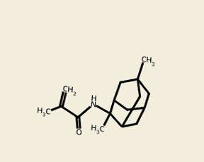 C=C(C)C(=O)NC1(C)C2CC3CC1CC(C)(C3)C2